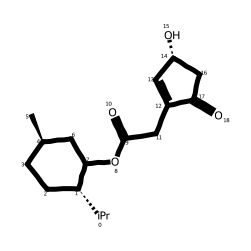 CC(C)[C@@H]1CC[C@@H](C)CC1OC(=O)CC1=C[C@H](O)CC1=O